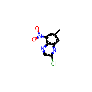 Cc1cc([N+](=O)[O-])c2ncc(Cl)nc2c1